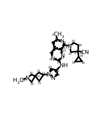 Cc1cc2cnc(Nc3cnn(C4CC5(C4)CN(C)C5)c3)nc2c(N2CCC(C#N)(C3CC3)C2)n1